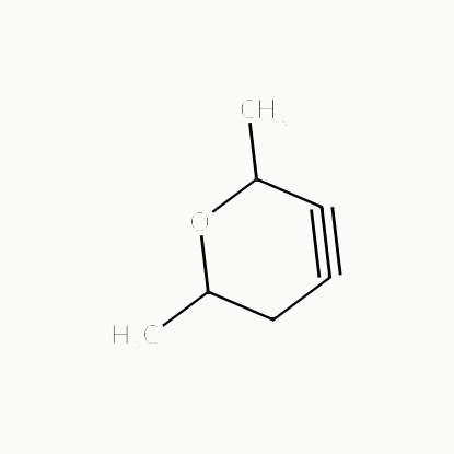 CC1C#CCC(C)O1